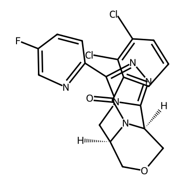 O=C(c1cccc(Cl)c1Cl)N1[C@H]2COC[C@@H]1c1nnc(-c3ccc(F)cn3)n1C2